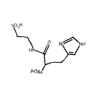 CC(=O)NC(Cc1c[nH]cn1)C(=O)NCCS(=O)(=O)O